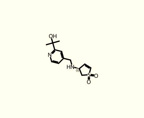 CC(C)(O)c1cc(CN[C@H]2C=CS(=O)(=O)C2)ccn1